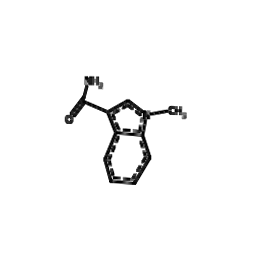 Cn1cc(C(N)=O)c2ccccc21